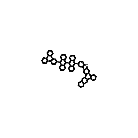 c1ccc2cc3c(cc2c1)c1ccccc1c1cc2oc4ccc(-c5c6ccccc6c(-c6c7ccccc7c(-c7ccc8c9ccccc9c9ccccc9c8c7)c7ccccc67)c6ccccc56)cc4c2cc31